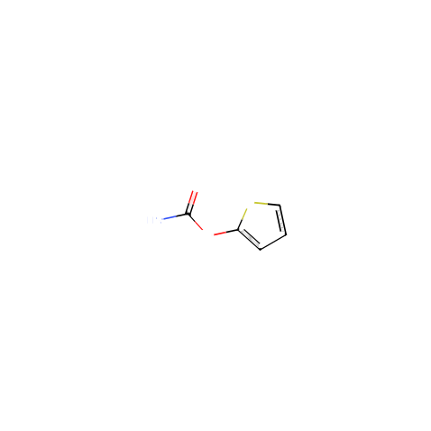 [NH]C(=O)Oc1cccs1